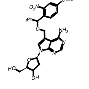 COc1ccc(C(OCc2cn([C@H]3CC(O)[C@@H](CO)O3)c3ncnc(N)c23)C(C)C)c([N+](=O)[O-])c1